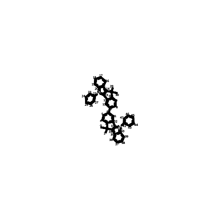 CC1(C)c2ccc(-c3ccc4c(c3)-c3c(c5ccccc5n3-c3ccccc3)C4(C)C)cc2-c2c1c1ccccc1n2-c1ccccc1